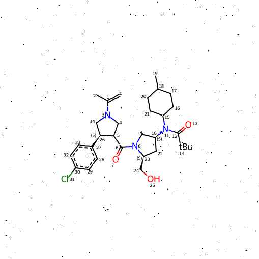 C=C(C)N1CC(C(=O)N2C[C@@H](N(C(=O)C(C)(C)C)C3CCC(C)CC3)C[C@H]2CO)[C@@H](c2ccc(Cl)cc2)C1